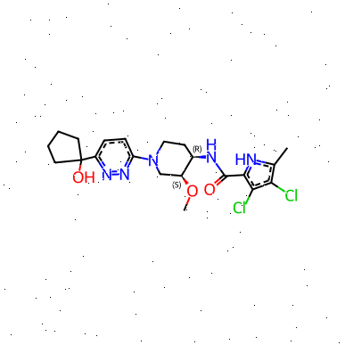 CO[C@H]1CN(c2ccc(C3(O)CCCC3)nn2)CC[C@H]1NC(=O)c1[nH]c(C)c(Cl)c1Cl